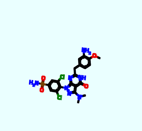 COc1ccc(Cc2nc3c(c(N(C)C)nn3-c3c(Cl)cc(S(N)(=O)=O)cc3Cl)c(=O)[nH]2)cc1N